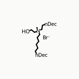 CCCCCCCCCCCCCCCC[N+](C)(CCO)CCCCCCCCCCCC.[Br-]